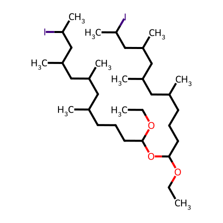 CCOC(CCCC(C)CC(C)CC(C)CC(C)I)OC(CCCC(C)CC(C)CC(C)CC(C)I)OCC